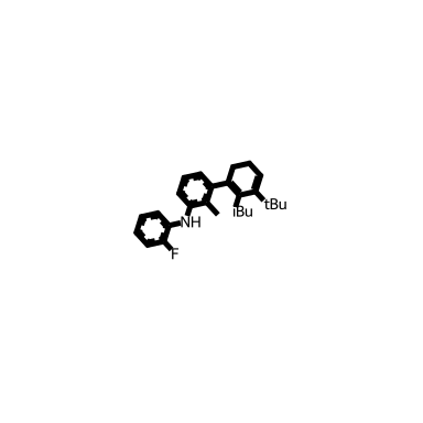 CCC(C)C1=C(c2cccc(Nc3ccccc3F)c2C)CCC=C1C(C)(C)C